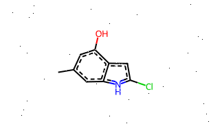 Cc1cc(O)c2cc(Cl)[nH]c2c1